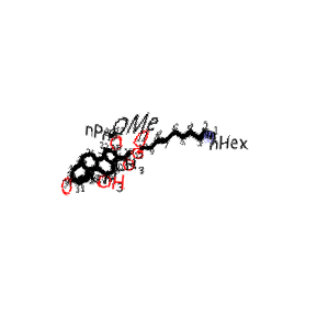 CCCCCC/C=C\CCCCCCCC(=O)OCC(=O)C1C(OC(CCC)OC)CC2C3CCC4=CC(=O)C=CC4(C)C3C(O)CC21C